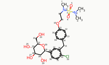 CN(C)S(=O)(=O)N(C)CCOc1ccc(Cc2cc([C@@H]3O[C@H](CO)[C@@H](O)[C@H](O)[C@H]3O)ccc2Cl)cc1